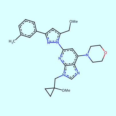 COCc1cc(-c2cccc(C)c2)nn1-c1cc(N2CCOCC2)c2ncn(CC3(OC)CC3)c2n1